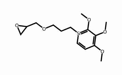 COc1cc[si](CCCOCC2CO2)c(OC)c1OC